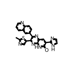 Cc1ncc(-c2nc3[nH]c(=O)c(-c4ncc[nH]4)cc3nc2-c2ccc3ncccc3c2)s1